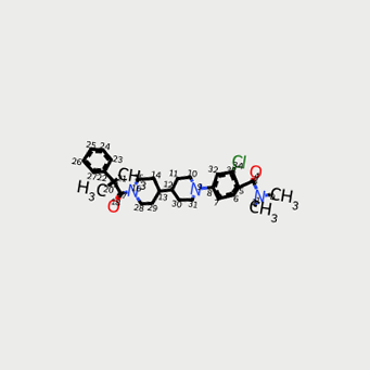 CN(C)C(=O)c1ccc(N2CCC(C3CCN(C(=O)C(C)(C)c4ccccc4)CC3)CC2)cc1Cl